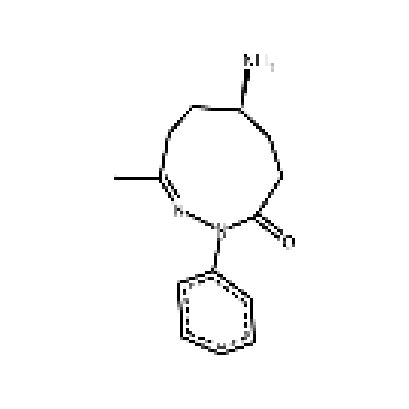 C/C1=N/N(c2ccccc2)C(=O)CC[C@H](N)CC1